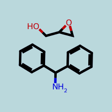 NC(c1ccccc1)c1ccccc1.OCC1CO1